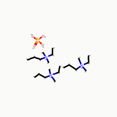 CCC[N+](C)(C)CC.CCC[N+](C)(C)CC.CCC[N+](C)(C)CC.O=P([O-])([O-])[O-]